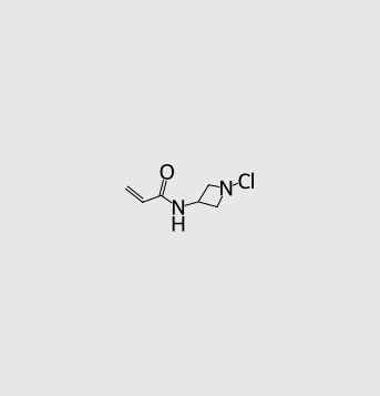 C=CC(=O)NC1CN(Cl)C1